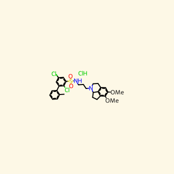 COc1cc2c3c(c1OC)CCC3N(CCCNS(=O)(=O)c1cc(Cl)cc(-c3ccccc3C)c1Cl)CC2.Cl